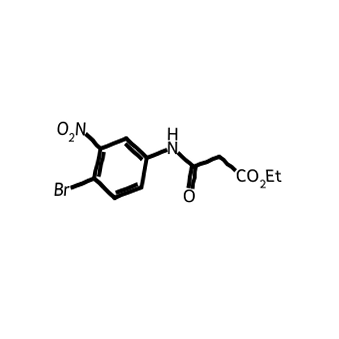 CCOC(=O)CC(=O)Nc1ccc(Br)c([N+](=O)[O-])c1